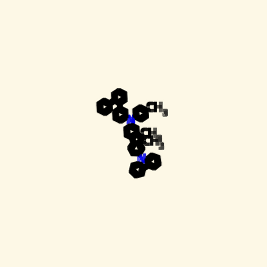 Cc1ccc(N(c2cccc(-c3ccccc3-c3ccccc3)c2)c2ccc3c(c2)C(C)(C)c2cc(-n4c5ccccc5c5ccccc54)ccc2-3)cc1